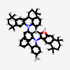 Cc1cc2c3c(c1)N(c1ccc(C(C)(C)C)cc1-c1ccccc1)c1c(oc4cc5c(cc14)C(C)(C)CCC5(C)C)B3c1ccc3c4c1N2c1cc2c(cc1C4(C)CCC3(C)C)C(C)(C)CCC2(C)C